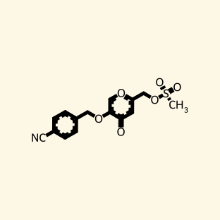 CS(=O)(=O)OCc1cc(=O)c(OCc2ccc(C#N)cc2)co1